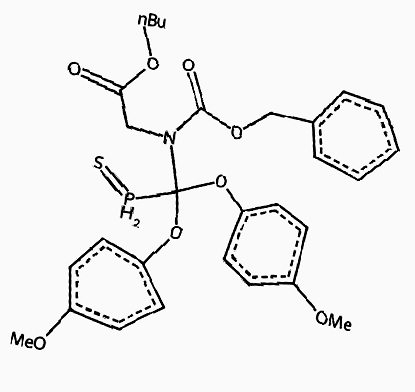 CCCCOC(=O)CN(C(=O)OCc1ccccc1)C(Oc1ccc(OC)cc1)(Oc1ccc(OC)cc1)[PH2]=S